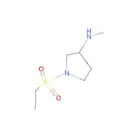 CCS(=O)(=O)N1CCC(NC)C1